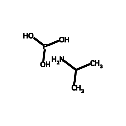 CC(C)N.OP(O)O